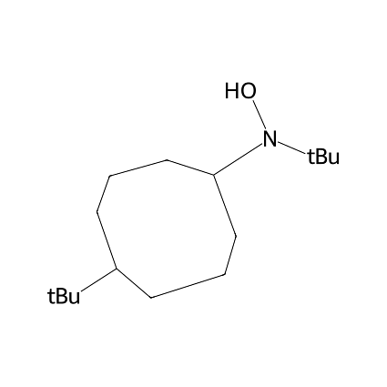 CC(C)(C)C1CCCC(N(O)C(C)(C)C)CCC1